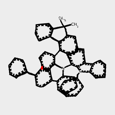 CC1(C)c2ccccc2-c2c(-c3ccccc3N(c3ccccc3-c3ccc(-c4ccccc4)cc3)c3cccc4c5ccccc5n(-c5ccccc5)c34)cccc21